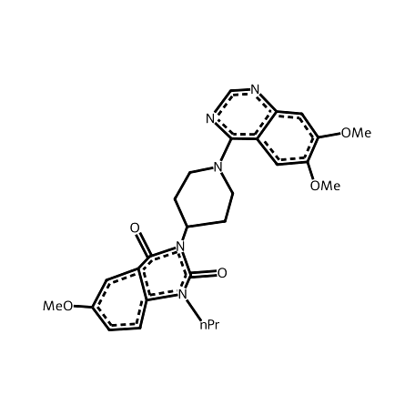 CCCn1c(=O)n(C2CCN(c3ncnc4cc(OC)c(OC)cc34)CC2)c(=O)c2cc(OC)ccc21